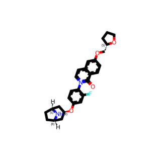 O=c1c2ccc(OC[C@@H]3CCCO3)cc2ccn1-c1ccc(O[C@H]2C[C@H]3CC[C@@H](C2)N3)cc1F